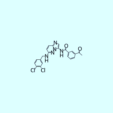 CC(=O)c1cccc(C(=O)Nc2cnc3ccc(NCc4ccc(Cl)c(Cl)c4)nn23)c1